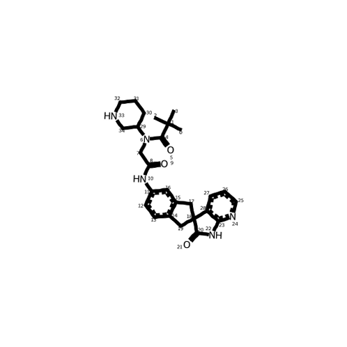 CC(C)(C)C(=O)N(CC(=O)Nc1ccc2c(c1)CC1(C2)C(=O)Nc2ncccc21)C1CCCNC1